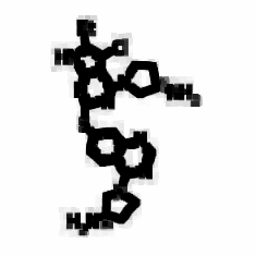 CCc1[nH]c2nc(Sc3ccc4c(N5CC[C@@H](N)C5)ncnc4c3)nc(N3CC[C@H](N)C3)c2c1Cl